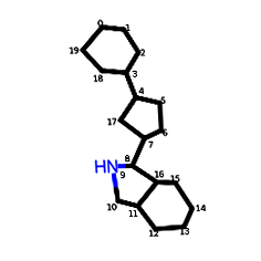 C1CCC(C2CCC(C3NCC4CCCCC43)C2)CC1